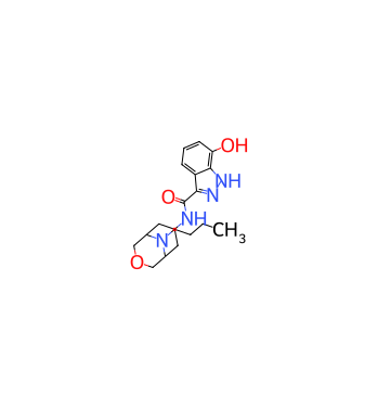 CCCCN1C2COCC1CC(NC(=O)c1n[nH]c3c(O)cccc13)C2